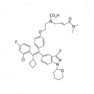 CN(C)C(=O)C=CCN(CCOc1ccc(C(=C(c2ccc(F)cc2Cl)C2CCC2)c2ccc3c(c2)c(F)nn3C2CCCCO2)cc1)C(=O)O